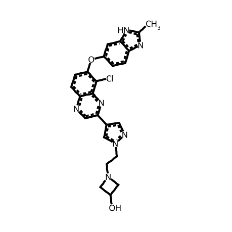 Cc1nc2ccc(Oc3ccc4ncc(-c5cnn(CCN6CC(O)C6)c5)nc4c3Cl)cc2[nH]1